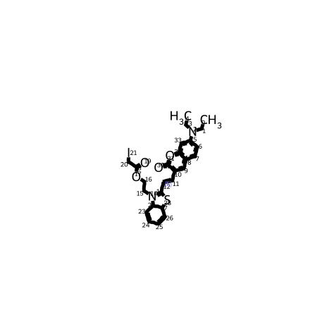 CCN(CC)c1ccc2cc(/C=C/C3=[N+](CCOC(=O)CI)C4C=CC=CC4S3)c(=O)oc2c1